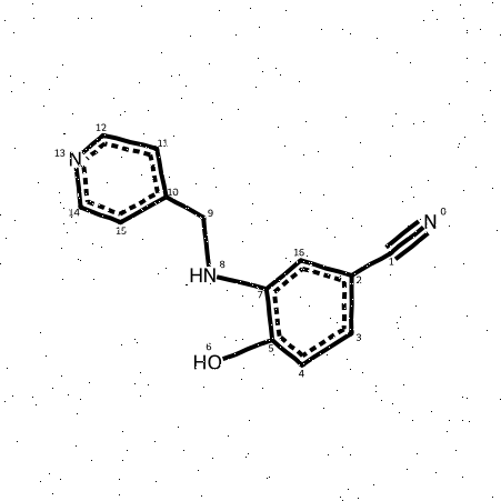 N#Cc1ccc(O)c(NCc2ccncc2)c1